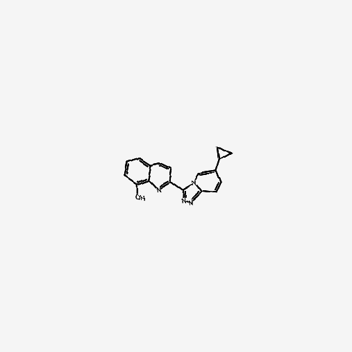 Oc1cccc2ccc(-c3nnc4ccc(C5CC5)cn34)nc12